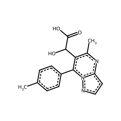 Cc1ccc(-c2c(C(O)C(=O)O)c(C)nc3ccnn23)cc1